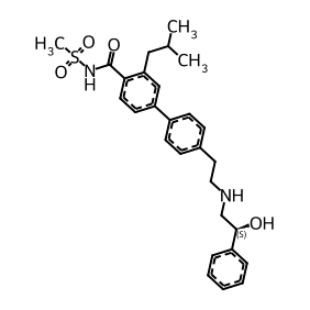 CC(C)Cc1cc(-c2ccc(CCNC[C@@H](O)c3ccccc3)cc2)ccc1C(=O)NS(C)(=O)=O